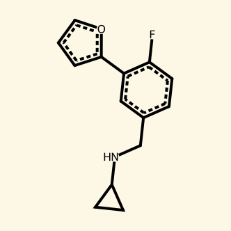 Fc1ccc(CNC2CC2)cc1-c1ccco1